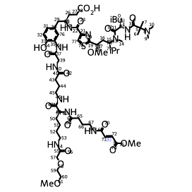 CC[C@H](C)[C@H](NC(=O)C(C)(C)N(C)C)C(=O)N(C)[C@H](C[C@@H](OC)c1nc(C(=O)N[C@H](CCC(=O)O)Cc2ccc(O)c(NC(=O)CNC(=O)CCCNC(=O)[C@H](CCCCNC(=O)COCCOC)NC(=O)CCCNC(=O)/C=C/C(=O)OC)c2)cs1)C(C)C